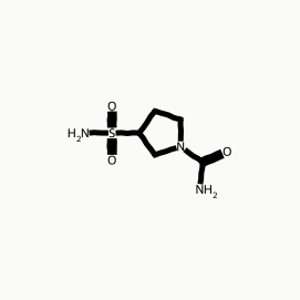 NC(=O)N1CCC(S(N)(=O)=O)C1